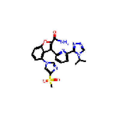 CC(C)n1cnnc1-c1cccc(-c2c(C(N)=O)oc3cccc(-n4cnc(S(C)(=O)=O)c4)c23)n1